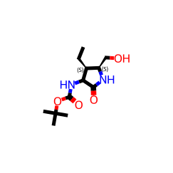 CC[C@@H]1C(NC(=O)OC(C)(C)C)C(=O)N[C@@H]1CO